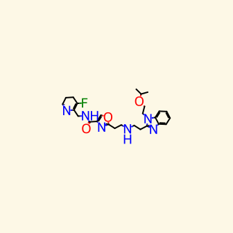 CC(C)OCCn1c(CCNCCc2nc(C(=O)NCC3=C(F)CCC=N3)co2)nc2ccccc21